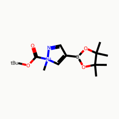 CC(C)(C)OC(=O)[N+]1(C)C=C(B2OC(C)(C)C(C)(C)O2)C=N1